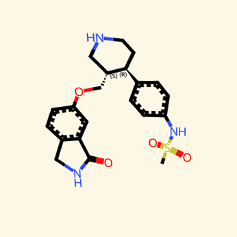 CS(=O)(=O)Nc1ccc([C@@H]2CCNC[C@H]2COc2ccc3c(c2)C(=O)NC3)cc1